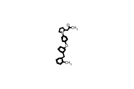 CC(=O)CC1CCCN1c1ccc(Oc2cccc(Cc3ccccc3C)c2)cc1